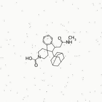 CNC(=O)CC1c2ccccc2C2(CCN(C(=O)O)CC2)C1C12CC3CC(CC(C3)C1)C2